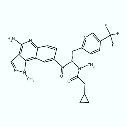 CN(C(=O)CC1CC1)N(Cc1ccc(C(F)(F)F)cn1)C(=O)c1ccc2nc(N)c3cnn(C)c3c2c1